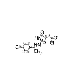 CC(=NN=C1NC(=O)C(CC(=O)Cl)S1)c1ccc(Cl)cc1